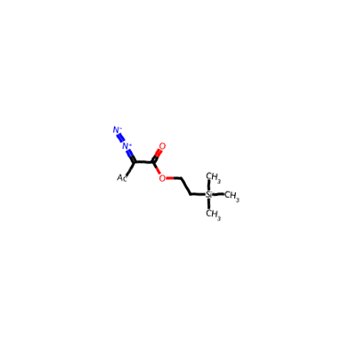 CC(=O)C(=[N+]=[N-])C(=O)OCC[Si](C)(C)C